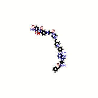 O=C1CC[C@H](N2C(=O)c3ccc(N4CC(C(=O)N5CCN(CCC6CCN(c7ccc(Nc8ncnc9c8ncn9C8CC(NC(=O)Cc9ccccc9)C8)cc7)CC6)CC5)C4)cc3C2=O)C(=O)N1